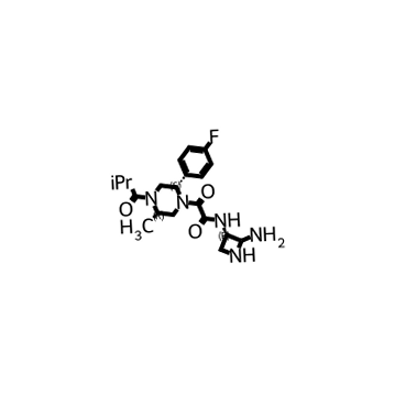 CC(C)C(=O)N1C[C@H](c2ccc(F)cc2)N(C(=O)C(=O)N[C@@H]2CNC2N)C[C@H]1C